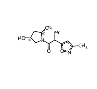 Cc1cc(C(C(=O)N2C[C@H](O)C[C@H]2C#N)C(C)C)on1